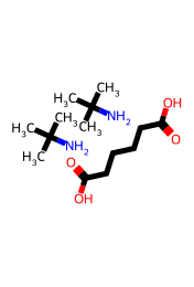 CC(C)(C)N.CC(C)(C)N.O=C(O)CCCCC(=O)O